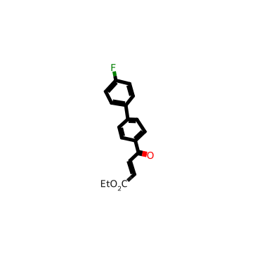 CCOC(=O)C=CC(=O)c1ccc(-c2ccc(F)cc2)cc1